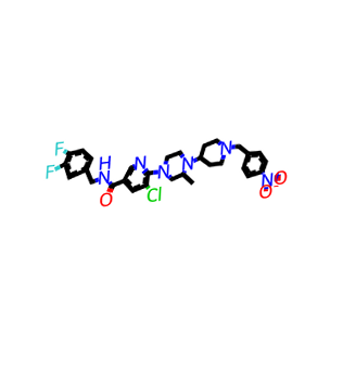 CC1CN(c2ncc(C(=O)NCc3ccc(F)c(F)c3)cc2Cl)CCN1C1CCN(Cc2ccc([N+](=O)[O-])cc2)CC1